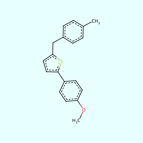 COc1ccc(-c2ccc(Cc3ccc(C)cc3)s2)cc1